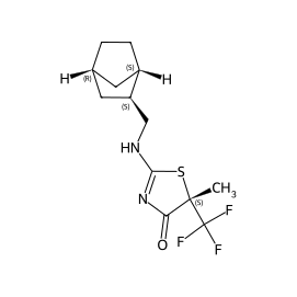 C[C@]1(C(F)(F)F)SC(NC[C@H]2C[C@@H]3CC[C@H]2C3)=NC1=O